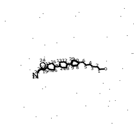 CCCCCCCc1ccc(C2CCC(C3CCC(C=CC#N)(OC)CC3)CC2)cc1